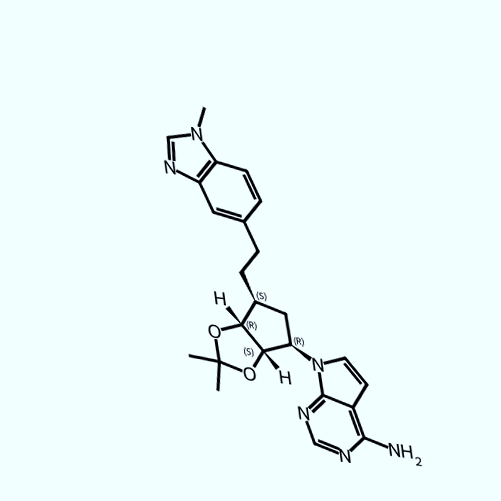 Cn1cnc2cc(CC[C@H]3C[C@@H](n4ccc5c(N)ncnc54)[C@@H]4OC(C)(C)O[C@H]34)ccc21